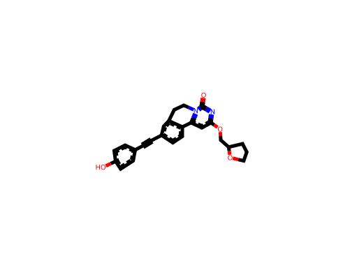 O=c1nc(OCC2CCCO2)cc2n1CCc1cc(C#Cc3ccc(O)cc3)ccc1-2